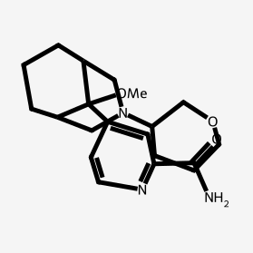 COC1(c2ccnc(C(N)=O)c2)C2CCCC1CN(C1CCCOC1)C2